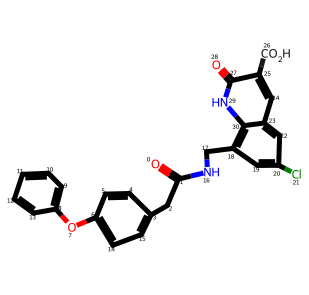 O=C(Cc1ccc(Oc2ccccc2)cc1)NCc1cc(Cl)cc2cc(C(=O)O)c(=O)[nH]c12